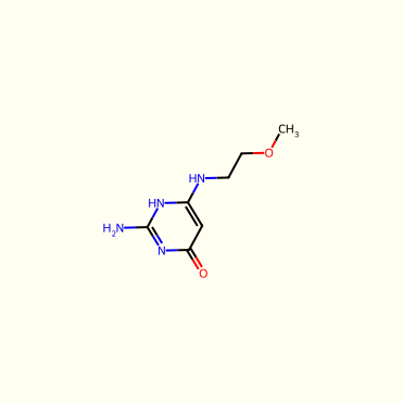 COCCNc1cc(=O)nc(N)[nH]1